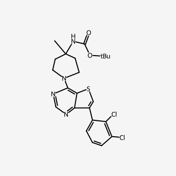 CC1(NC(=O)OC(C)(C)C)CCN(c2ncnc3c(-c4cccc(Cl)c4Cl)csc23)CC1